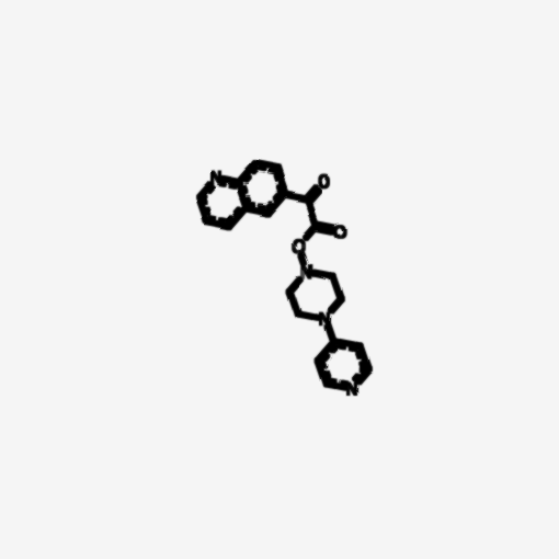 O=C(ON1CCN(c2ccncc2)CC1)C(=O)c1ccc2ncccc2c1